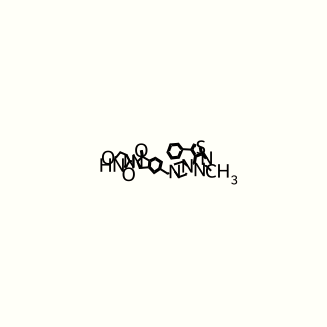 Cc1nc(N2CCN(Cc3ccc4c(c3)CN(N3CCC(=O)NC3=O)C4=O)CC2)c2c(-c3ccccc3)csc2n1